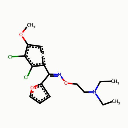 CCN(CC)CCON=C(c1ccco1)c1ccc(OC)c(Cl)c1Cl